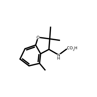 Cc1cccc2c1C(NC(=O)O)C(C)(C)O2